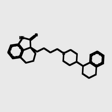 O=C1Nc2cccc3c2C1(CCCCN1CCC(C2CCCc4ccccc42)CC1)CCC3